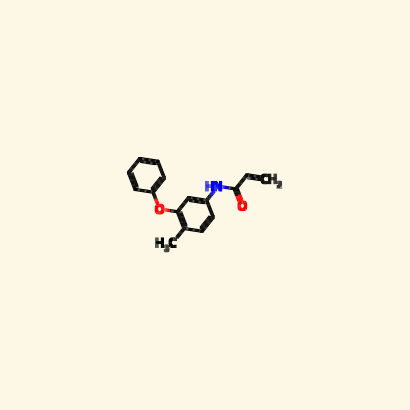 C=CC(=O)Nc1ccc(C)c(Oc2ccccc2)c1